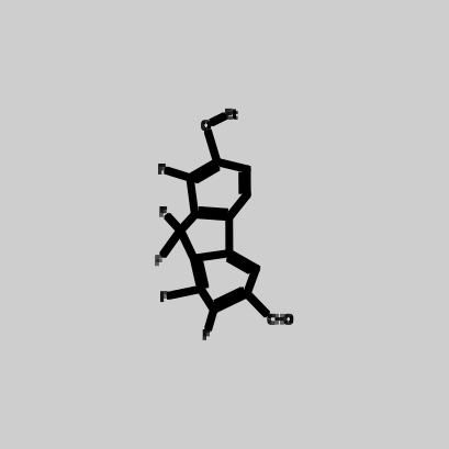 CCOc1ccc2c(c1F)C(F)(F)c1c-2cc(C=O)c(F)c1F